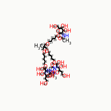 CC(=O)N/C(=C(/O)[C@@H](O)CCO)[C@@H](O)OCCCCCOCC(C)(COCCCCCO[C@@H]1OC(CO)[C@H](O)C(O)C1NC(C)=O)COCCCCCO[C@H](O)/C(NC(C)=O)=C(\O)[C@@H](O)CCO